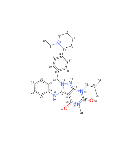 CCN1CCCCC1c1ccc(Cn2nc3c(c2Nc2ccccc2)c(=O)n(C)c(=O)n3CC(C)C)cc1